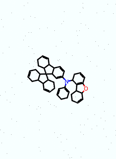 C1=CC(N(C2=CC3C(C=C2)C2C=CCCC2C32C3CCC=CC3C3CC=CCC32)C2CC=CC3=C2C2CCC=CC2O3)=CCC1